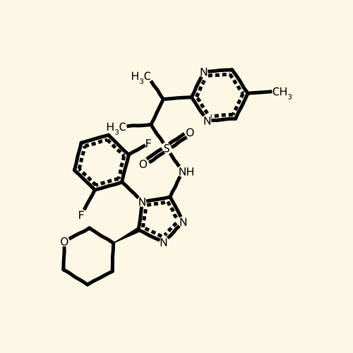 Cc1cnc(C(C)C(C)S(=O)(=O)Nc2nnc([C@H]3CCCOC3)n2-c2c(F)cccc2F)nc1